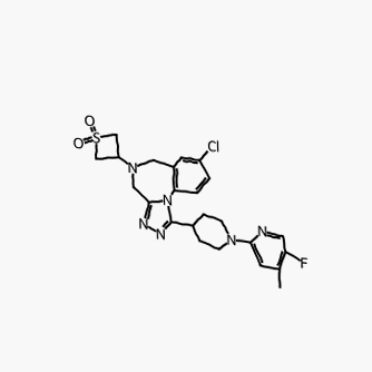 Cc1cc(N2CCC(c3nnc4n3-c3ccc(Cl)cc3CN(C3CS(=O)(=O)C3)C4)CC2)ncc1F